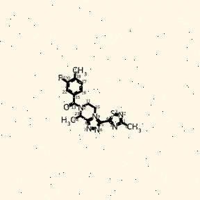 Cc1nsc(-c2nnc3n2CCN(C(=O)c2ccc(C)c(F)c2)C3C)n1